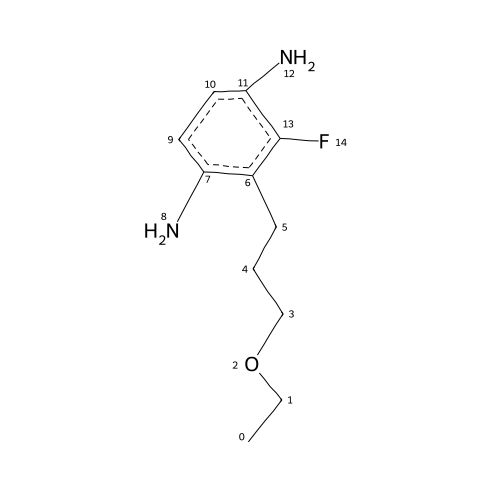 CCOCCCc1c(N)ccc(N)c1F